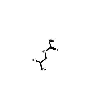 CC(C)(C)C(=O)NCC(O)C(C)(C)C